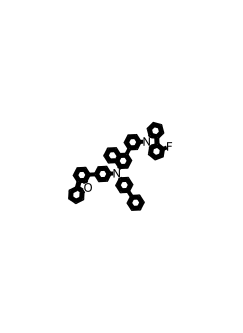 Fc1cccc2c1c1ccccc1n2-c1cccc(-c2ccc(N(c3ccc(-c4ccccc4)cc3)c3ccc(-c4cccc5c4oc4ccccc45)cc3)c3ccccc23)c1